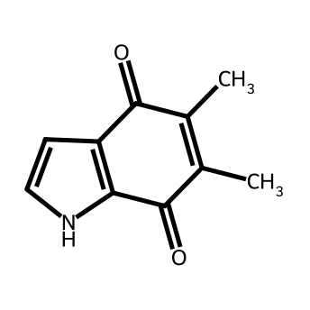 CC1=C(C)C(=O)c2[nH]ccc2C1=O